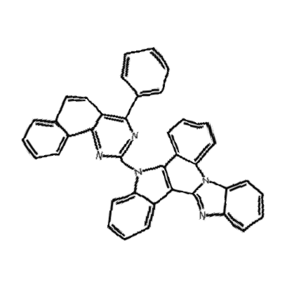 c1ccc(-c2nc(-n3c4ccccc4c4c3c3ccccc3n3c5ccccc5nc43)nc3c2ccc2ccccc23)cc1